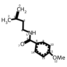 C=C(C)CCNC(=O)c1ccc(OC)cc1